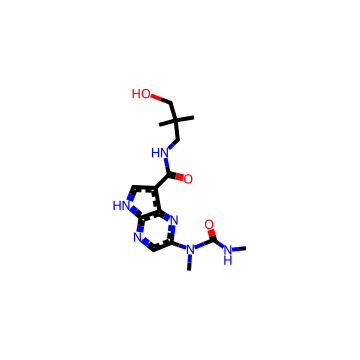 CNC(=O)N(C)c1cnc2[nH]cc(C(=O)NCC(C)(C)CO)c2n1